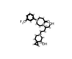 O=C1CCN(c2cccc(C(F)(F)F)c2)CCN1C(CO)CCN1CCC2(CC2)[C@H](O)C1